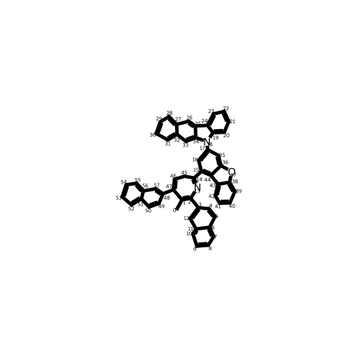 CC1=C(c2ccc3ccccc3c2)N=C(c2cc(-n3c4ccccc4c4cc5ccccc5cc43)cc3oc4ccccc4c23)CC=C1c1ccc2ccccc2c1